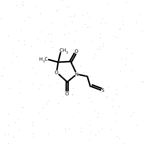 CC1(C)OC(=O)N(CC=S)C1=O